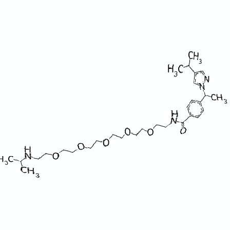 CC(C)NCCOCCOCCOCCOCCOCCNC(=O)c1ccc(C(C)n2cc(C(C)C)cn2)cc1